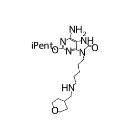 CCC[C@H](C)Oc1nc(N)c2[nH]c(=O)n(CCCCCNCC3CCOCC3)c2n1